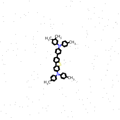 Cc1ccc(N(C2=CC(C)C(C)C=C2)c2ccc(-c3ccc4c(c3)sc3cc(N(c5ccc(C)cc5)c5ccc(C)cc5)ccc34)cc2)cc1